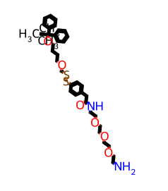 CC(C)(C)C(OCCCCOCSSc1ccc(CC(=O)NCCOCCOCCOCCN)cc1)(c1ccccc1)c1ccccc1